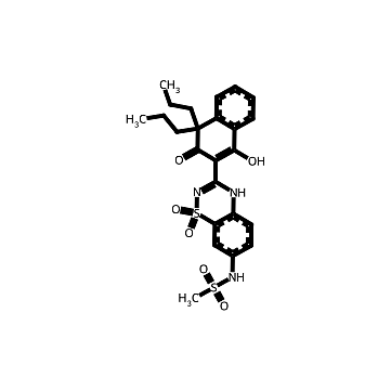 CCCC1(CCC)C(=O)C(C2=NS(=O)(=O)c3cc(NS(C)(=O)=O)ccc3N2)=C(O)c2ccccc21